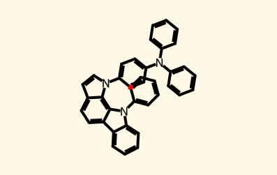 c1ccc(N(c2ccccc2)c2ccc(-n3ccc4ccc5c6ccccc6n(-c6ccccc6)c5c43)cc2)cc1